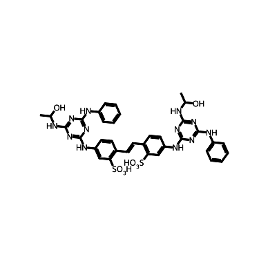 CC(O)Nc1nc(Nc2ccccc2)nc(Nc2ccc(/C=C/c3ccc(Nc4nc(Nc5ccccc5)nc(NC(C)O)n4)cc3S(=O)(=O)O)c(S(=O)(=O)O)c2)n1